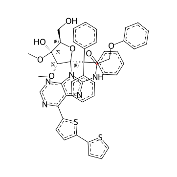 CO[C@@H]1[C@@](O)(OC)[C@@H](CO)O[C@]1(n1c(NC(=O)COc2ccccc2)nc2c(-c3ccc(-c4cccs4)s3)ncnc21)C(c1ccccc1)(c1ccccc1)c1ccccc1